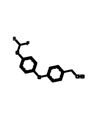 O=CCc1ccc(Oc2ccc(OC(F)F)cc2)cc1